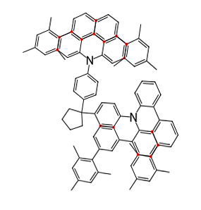 Cc1cc(C)c(-c2cccc(-c3ccccc3N(c3ccc(C4(c5ccc(N(c6ccccc6-c6cccc(-c7c(C)cc(C)cc7C)c6)c6ccccc6-c6cccc(-c7c(C)cc(C)cc7C)c6)cc5)CCCC4)cc3)c3ccccc3-c3cccc(-c4c(C)cc(C)cc4C)c3)c2)c(C)c1